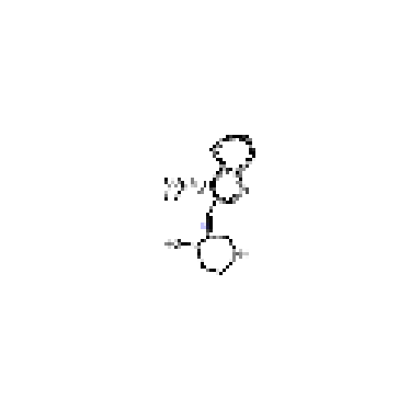 CC(=O)O.CC(=O)O.OC1CCNC/C1=C\c1cnc2ccccc2c1